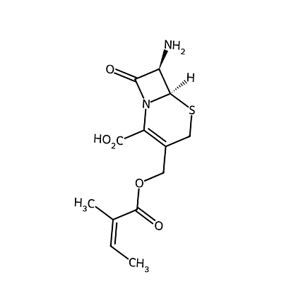 C/C=C(/C)C(=O)OCC1=C(C(=O)O)N2C(=O)[C@@H](N)[C@H]2SC1